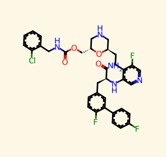 NC(=O)[C@H](Cc1ccc(F)c(-c2ccc(F)cc2)c1)Nc1cncc(F)c1CC[C@@H]1CNC[C@@H](COC(=O)NCc2ccccc2Cl)O1